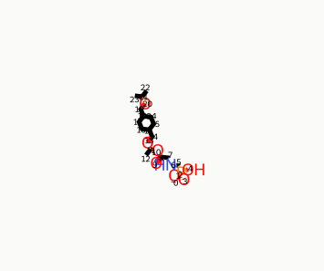 COP(=O)(O)CNCC(=O)OC(C)OCC1CCC(COC(C)C)CC1